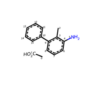 CC(=O)O.Cc1c(N)cccc1-c1ccccc1